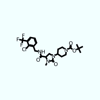 CN1C(=O)N(C2CCN(C(=O)OC(C)(C)C)CC2)CC1C(=O)NCc1cccc(C(F)(F)F)c1Cl